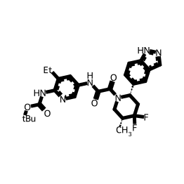 CCc1cc(NC(=O)C(=O)N2C[C@@H](C)C(F)(F)C[C@H]2c2ccc3[nH]ncc3c2)cnc1NC(=O)OC(C)(C)C